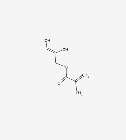 C=C(C)C(=O)OC/C(O)=C/O